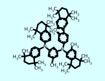 Cc1cc(N(c2ccc3c(c2)C(C)(C)CCC3(C)C)c2ccc3c(c2)C(C)(C)CCC3(C)C)cc(N(c2ccc3c(c2)oc2cc4c(cc23)C(C)(C)CCC4(C)C)c2cc3c(cc2C)C(C)(C)CCC3(C)C)c1